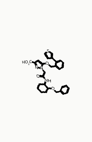 O=C(Cn1nc(C(=O)O)cc1OCc1ccccc1-c1ccsc1)NC1CCCCC1OCc1ccccc1